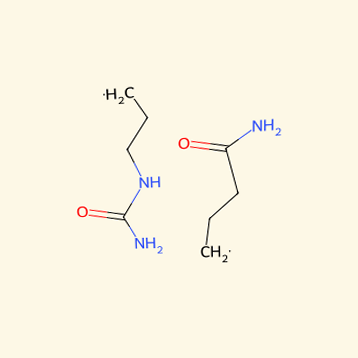 [CH2]CCC(N)=O.[CH2]CCNC(N)=O